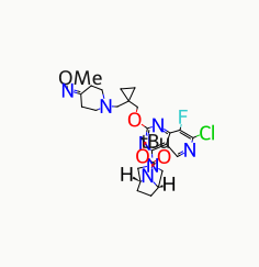 CON=C1CCN(CC2(COc3nc(N4C[C@H]5CC[C@@H](C4)N5C(=O)OC(C)(C)C)c4cnc(Cl)c(F)c4n3)CC2)CC1